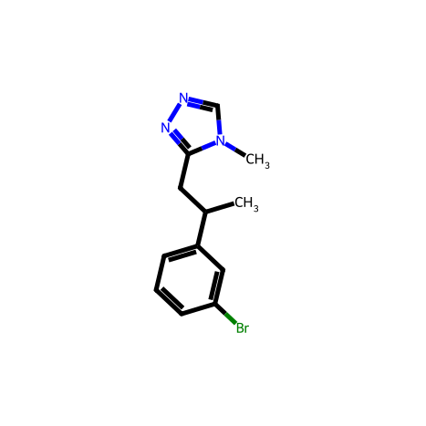 CC(Cc1nncn1C)c1cccc(Br)c1